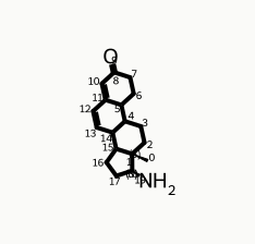 C[C@]12CCC3C4CCC(=O)C=C4C=CC3C1CC[C@@H]2N